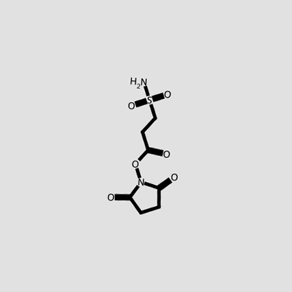 NS(=O)(=O)CCC(=O)ON1C(=O)CCC1=O